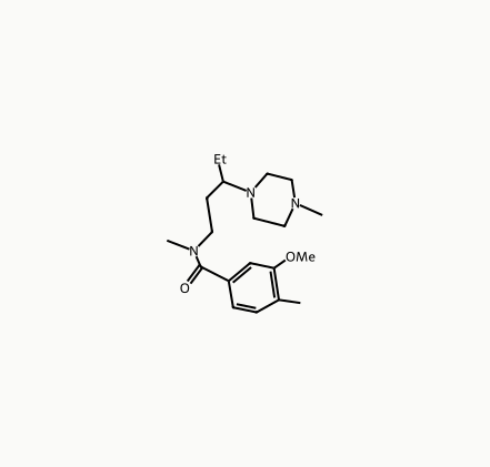 CCC(CCN(C)C(=O)c1ccc(C)c(OC)c1)N1CCN(C)CC1